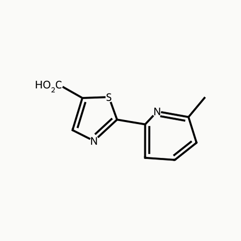 Cc1cccc(-c2ncc(C(=O)O)s2)n1